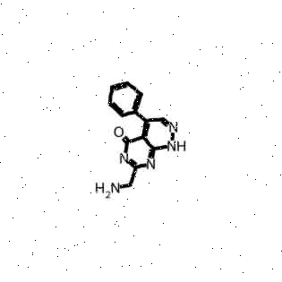 NCc1nc2[nH]ncc(-c3ccccc3)c-2c(=O)n1